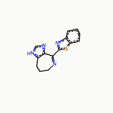 c1ccc2sc(C3=NCCCc4[nH]cnc43)nc2c1